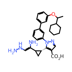 CC(Oc1cccc(-c2cccc(-n3ncc(C(=O)O)c3[C@@H]3CC3/C(N)=C/NN)c2)c1)C1CCCCC1